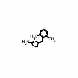 Cc1cccc(C)c1CC1COC(N)=N1